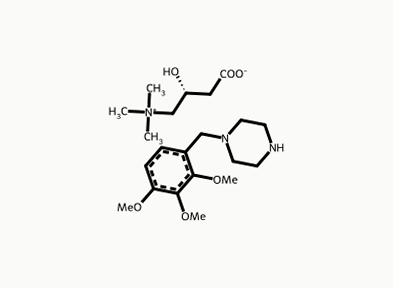 COc1ccc(CN2CCNCC2)c(OC)c1OC.C[N+](C)(C)C[C@H](O)CC(=O)[O-]